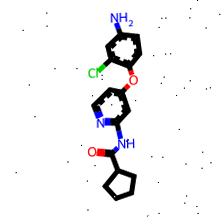 Nc1ccc(Oc2ccnc(NC(=O)C3CCCC3)c2)c(Cl)c1